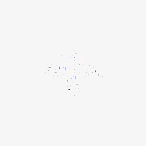 CC(C)c1cccc(N(c2cc3oc4cc(N(c5ccccc5)c5ccc(-c6ccccc6)cc5)cc5c6ccc(-c7ccnc(-c8ccc9c(c8)C8(c%10ccccc%10-c%10ccccc%108)c8ccccc8-9)n7)c7oc8c(N9C=c%10ccc%11cccc(-c%12cccc%13ccc%14ccccc%14c%12%13)c%11c%10=CC9)ccc(c(c2)c3c45)c8c76)c2cccc3cc(-c4ccccc4)ccc23)c1